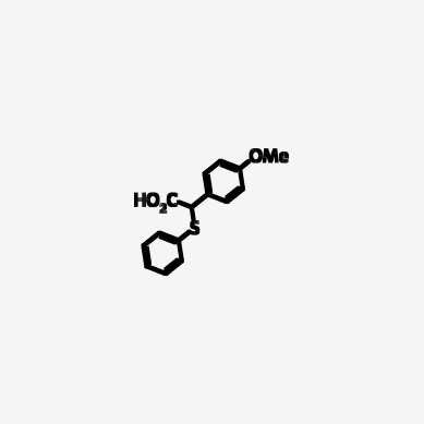 COc1ccc(C(Sc2ccccc2)C(=O)O)cc1